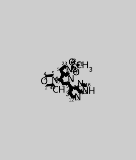 C[C@@H]1COCCN1c1cc(-c2ccnc3[nH]cnc23)nc2c1ccn2S(C)(=O)=O